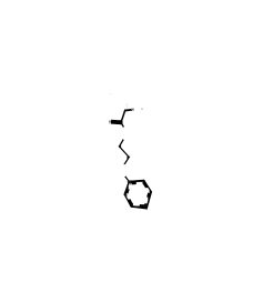 CC(=O)[C@H](O)C(=O)SCCOc1ccccc1